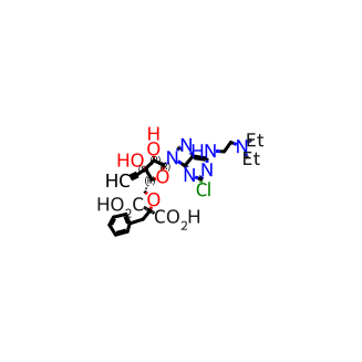 C#C[C@@]1(O)[C@@H](COC(Cc2ccccc2)(C(=O)O)C(=O)O)O[C@@H](n2cnc3c(NCCN(CC)CC)nc(Cl)nc32)[C@@H]1O